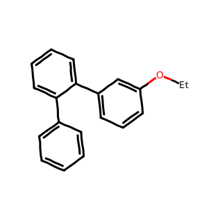 CCOc1cccc(-c2ccccc2-c2ccccc2)c1